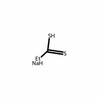 CCC(=S)S.[NaH]